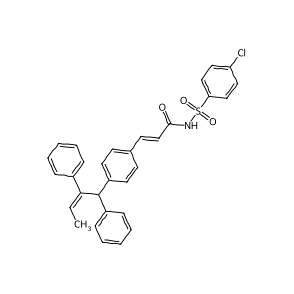 CC=C(c1ccccc1)C(c1ccccc1)c1ccc(C=CC(=O)NS(=O)(=O)c2ccc(Cl)cc2)cc1